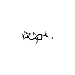 O=C(O)N1C[C@@H]2C(Cc3nnn[nH]3)[C@@H]2C1